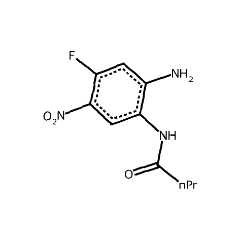 CCCC(=O)Nc1cc([N+](=O)[O-])c(F)cc1N